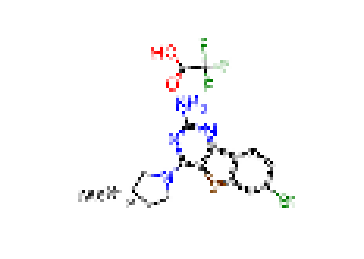 CN[C@H]1CCN(c2nc(N)nc3c2sc2cc(Br)ccc23)C1.O=C(O)C(F)(F)F